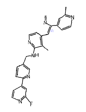 C=N/C(=C\c1ccnc(NCc2ccc(-c3ccnc(F)c3)nc2)c1C)c1ccnc(C)c1